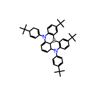 CC(C)(C)c1ccc(N2c3ccc(C(C)(C)C)cc3B3c4cc(C(C)(C)C)ccc4N(C4=CCC(C(C)(C)C)C=C4)C4=CC=CC2C34)cc1